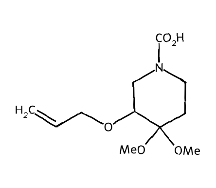 C=CCOC1CN(C(=O)O)CCC1(OC)OC